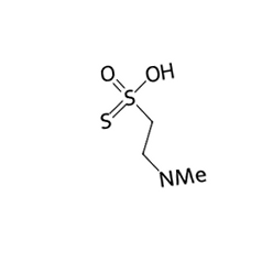 CNCCS(=O)(O)=S